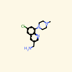 CN1CCN(c2cc(Cl)cc3cc(CN)cnc23)CC1